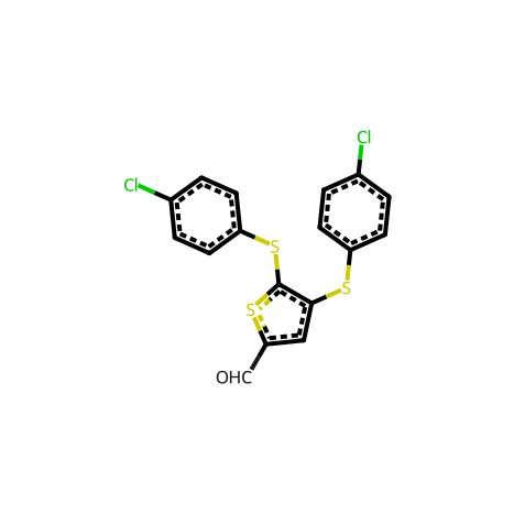 O=Cc1cc(Sc2ccc(Cl)cc2)c(Sc2ccc(Cl)cc2)s1